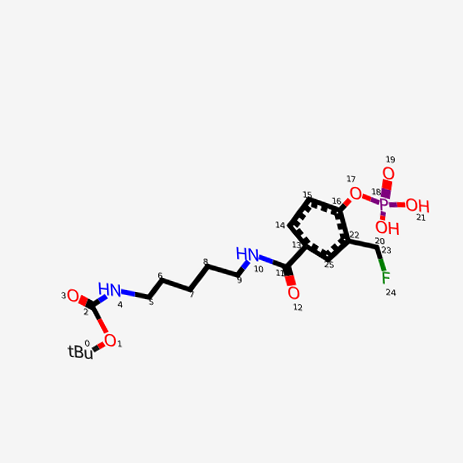 CC(C)(C)OC(=O)NCCCCCNC(=O)c1ccc(OP(=O)(O)O)c(CF)c1